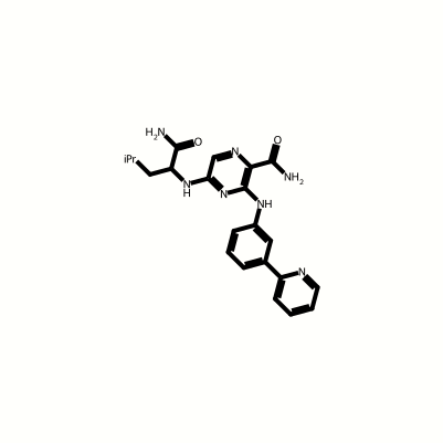 CC(C)CC(Nc1cnc(C(N)=O)c(Nc2cccc(-c3ccccn3)c2)n1)C(N)=O